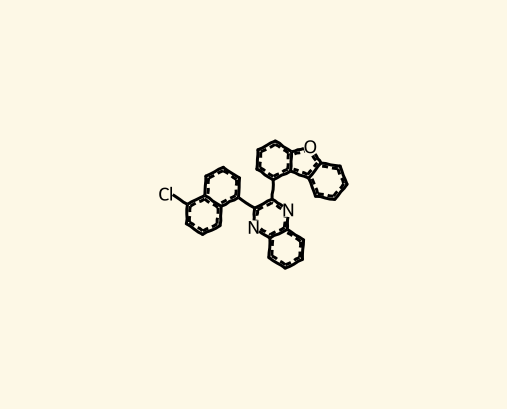 Clc1cccc2c(-c3nc4ccccc4nc3-c3cccc4oc5ccccc5c34)cccc12